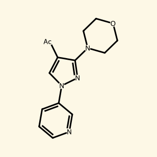 CC(=O)c1cn(-c2cccnc2)nc1N1CCOCC1